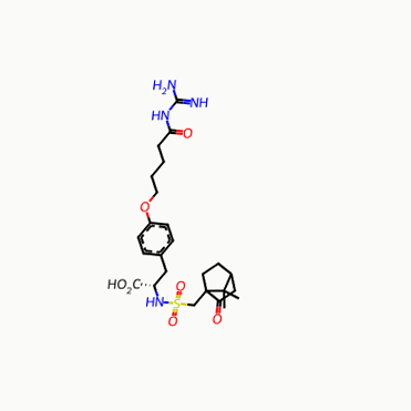 CC1(C)C2CCC1(CS(=O)(=O)N[C@@H](Cc1ccc(OCCCCC(=O)NC(=N)N)cc1)C(=O)O)C(=O)C2